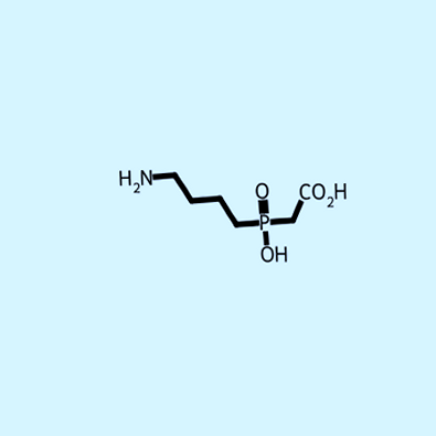 NCCCCP(=O)(O)CC(=O)O